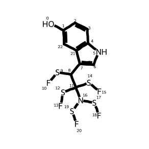 Oc1ccc2[nH]cc(C(SF)C(SF)(SF)N(SF)SF)c2c1